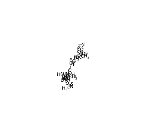 Cc1ncsc1-c1ccc(CNC(=O)[C@@H]2C[C@@H](O)CN2C(=O)[C@@H](NC(=O)COCCCCOc2c(F)cc(-c3ccc(N4C(=S)N(c5ccc(C#N)c(C(F)(F)F)c5F)C(O)C4(C)C)cn3)cc2F)C(C)(C)C)cc1